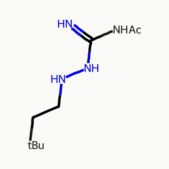 CC(=O)NC(=N)NNCCC(C)(C)C